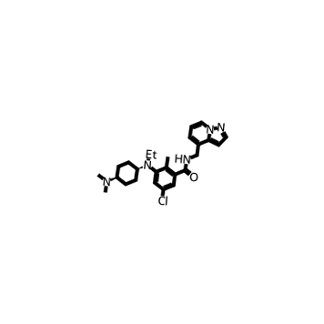 CCN(c1cc(Cl)cc(C(=O)NCc2cccn3nccc23)c1C)[C@H]1CC[C@H](N(C)C)CC1